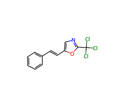 ClC(Cl)(Cl)c1ncc(C=Cc2ccccc2)o1